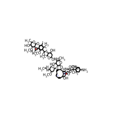 CCN[C@H]1CO[C@@H](O[C@H]2[C@H](O[C@H]3C#C/C=C/C#C[C@]4(O)CC(=O)C(NC(=O)OC)=C3/C4=C\CSSC(C)(C)c3ccc(N)cc3)O[C@H](C)[C@@H](NO[C@H]3C[C@H](O)[C@H](SC(=O)c4c(C)c(I)c(O[C@@H]5O[C@@H](C)[C@H](O)[C@@H](OC)[C@H]5O)c(OC)c4OC)[C@@H](C)O3)[C@@H]2O)C[C@@H]1OC